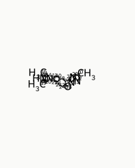 Cc1cnc2nc(C3=Cc4ccc(N5C[C@@H](C)N[C@@H](C)C5)cc4CCC3=O)cn2c1